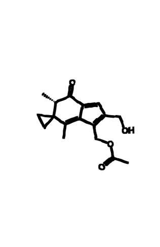 CC(=O)OCC1=C(CO)C=C2C(=O)[C@@H](C)C3(CC3)C(C)=C21